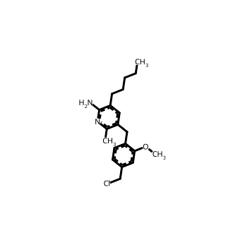 CCCCCc1cc(Cc2ccc(CCl)cc2OC)c(C)nc1N